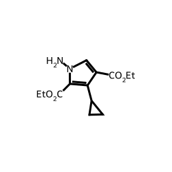 CCOC(=O)c1cn(N)c(C(=O)OCC)c1C1CC1